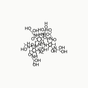 CC(=O)N(CC(O)(CN(C(C)=O)c1c(I)c(C(=O)NCC(O)CO)c(I)c(C(=O)NCC(O)CO)c1I)CN(C(C)=O)c1c(I)c(C(=O)NCC(O)CO)c(I)c(C(=O)NCC(O)CO)c1I)c1c(I)c(C(=O)NCC(C)CO)c(I)c(C(=O)NCC(O)CO)c1I